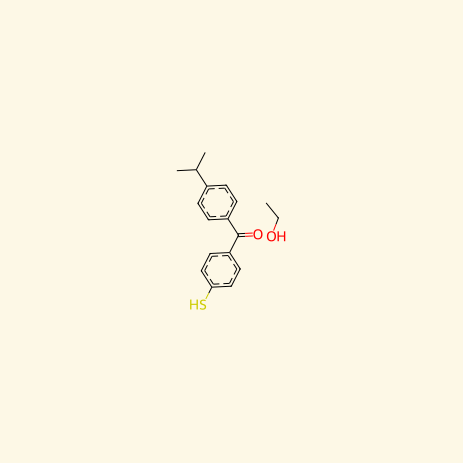 CC(C)c1ccc(C(=O)c2ccc(S)cc2)cc1.CCO